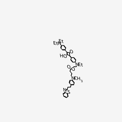 CCN(CC)c1ccc(C2=C(O)C(=C3C=CC(N(CC)CCOC(=O)CCCN(C)c4ccc(CCc5nc6ccccc6s5)cc4)C=C3)C2=O)cc1